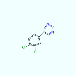 Clc1ccc(-c2[c]ncnc2)cc1Cl